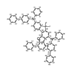 CC1(C)c2cc(N(c3ccccc3)c3ccc(-c4ccccc4)cc3)ccc2-c2c1cc(N(c1ccccc1)c1ccc(-c3ccccc3)cc1)c1c2oc2c(-c3ccccc3)cccc21